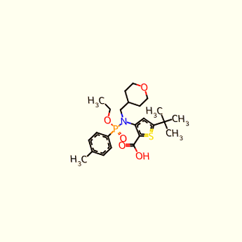 CCOP(=O)(c1ccc(C)cc1)N(CC1CCOCC1)c1cc(C(C)(C)C)sc1C(=O)O